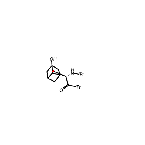 CC(C)N[C@H](C(=O)C(C)C)C1=C2C3CC2CC(O)(C1)C3